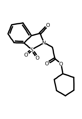 O=C(CN1C(=O)c2ccccc2S1(=O)=O)OC1CCCCC1